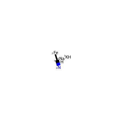 N#[C][Fe].[KH].[NaH]